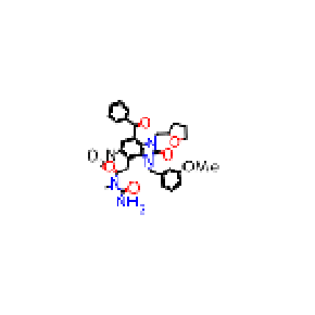 COc1cccc(Cn2c(=O)n(CC3CCCO3)c3c(C(=O)c4ccccc4)cc([N+](=O)[O-])c(CC(=O)N(C)C(N)=O)c32)c1